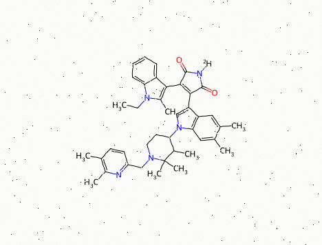 [2H]N1C(=O)C(c2cn(C3CCN(Cc4ccc(C)c(C)n4)C(C)(C)C3C)c3cc(C)c(C)cc23)=C(c2c(C)n(CC)c3ccccc23)C1=O